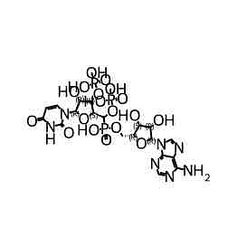 Nc1ncnc2c1ncn2[C@@H]1O[C@H](COP(=O)(O)C(OP(=O)(O)O)[C@H]2O[C@@H](n3ccc(=O)[nH]c3=O)[C@H](O)[C@@H]2OP(=O)(O)O)[C@@H](O)[C@H]1O